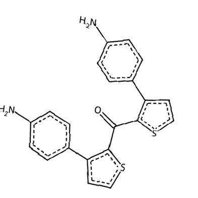 Nc1ccc(-c2ccsc2C(=O)c2sccc2-c2ccc(N)cc2)cc1